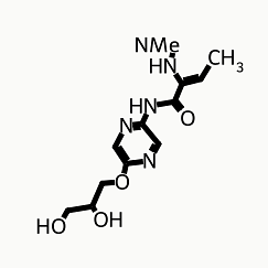 C/C=C(\NNC)C(=O)Nc1cnc(OCC(O)CO)cn1